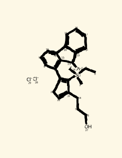 CC[Si](C)(C)C1=C(c2cccc3c2[CH]([Zr+2])c2ccccc2-3)CC=C1CCCO.[Cl-].[Cl-]